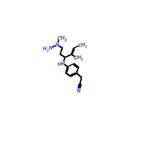 C/C=C(\C)C(CCN(C)N)Nc1ccc(CC#N)cc1